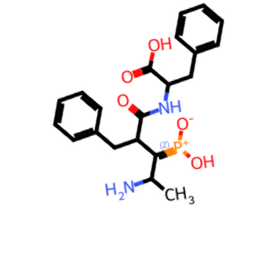 CC(N)/C(C(Cc1ccccc1)C(=O)NC(Cc1ccccc1)C(=O)O)=[P+](/[O-])O